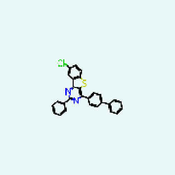 Clc1ccc2sc3c(-c4ccc(-c5ccccc5)cc4)nc(-c4ccccc4)nc3c2c1